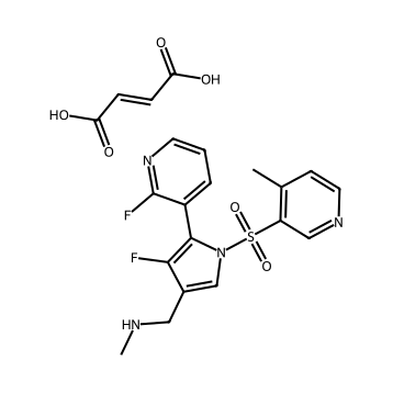 CNCc1cn(S(=O)(=O)c2cnccc2C)c(-c2cccnc2F)c1F.O=C(O)/C=C/C(=O)O